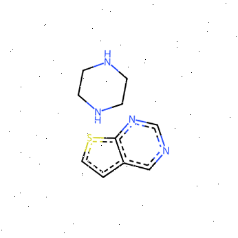 C1CNCCN1.c1ncc2ccsc2n1